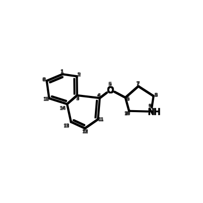 c1ccc2c(OC3CCNC3)cccc2c1